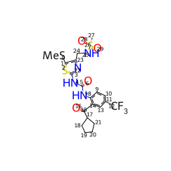 CSc1sc(NC(=O)Nc2ccc(C(F)(F)F)cc2C(=O)C2CCCC2)nc1CNS(C)(=O)=O